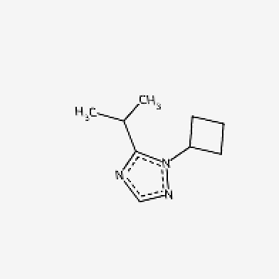 CC(C)c1ncnn1C1CCC1